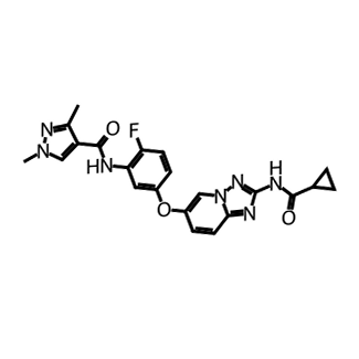 Cc1nn(C)cc1C(=O)Nc1cc(Oc2ccc3nc(NC(=O)C4CC4)nn3c2)ccc1F